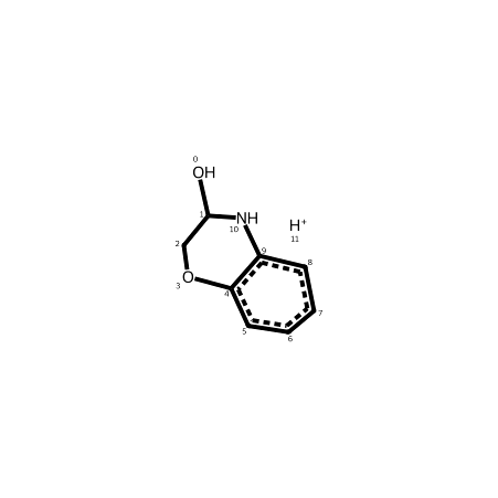 OC1COc2ccccc2N1.[H+]